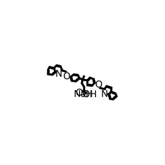 CC(CCC(=O)O)(c1ccc(OCc2ccc3ccccc3n2)cc1)c1ccc(OCc2ccc3ccccc3n2)cc1.[NaH]